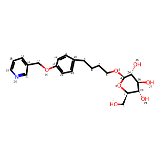 OC[C@H]1O[C@@H](OCCCCc2ccc(OCc3cccnc3)cc2)[C@H](O)[C@@H](O)[C@@H]1O